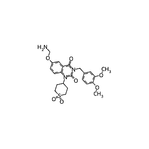 COc1ccc(Cn2c(=O)c3cc(OCN)ccc3n(C3CCS(=O)(=O)CC3)c2=O)cc1OC